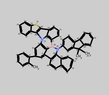 Cc1ccccc1-c1cc2c3c(c1)-n1c4c(cccc4c4sc5ccccc5c41)B3N(c1ccc3c(c1)C(C)(C)c1ccccc1-3)c1c-2ccc2ccccc12